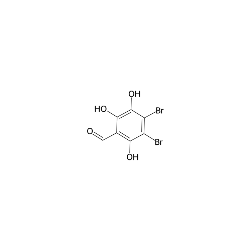 O=Cc1c(O)c(O)c(Br)c(Br)c1O